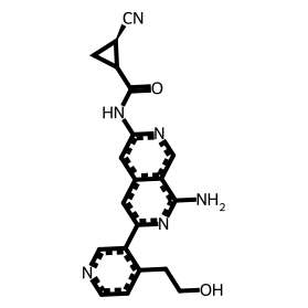 N#C[C@@H]1CC1C(=O)Nc1cc2cc(-c3cnccc3CCO)nc(N)c2cn1